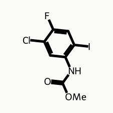 COC(=O)Nc1cc(Cl)c(F)cc1I